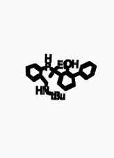 CCC(C)(Pc1ccccc1CNC(C)(C)C)c1cccc(-c2ccccc2)c1O